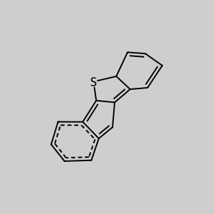 C1=CC2=C3C=c4ccccc4=C3SC2C=C1